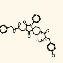 N[C@H](Cc1ccc(Cl)cc1)C(=O)N1CCC2(CC1)C(=O)N(CC(=O)NCc1ccccc1)C(=O)N2c1ccccc1